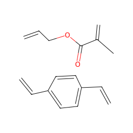 C=CCOC(=O)C(=C)C.C=Cc1ccc(C=C)cc1